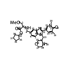 COCC(NCc1ccc2c(c1)nc(-c1cc(C)c(=O)n(C)c1)n2CC1COCCN1C)C(=O)OC1CCCC1